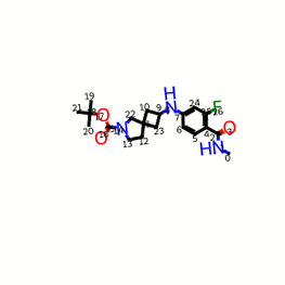 CNC(=O)c1ccc(NC2CC3(CCN(C(=O)OC(C)(C)C)C3)C2)cc1F